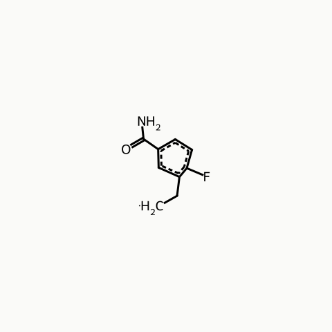 [CH2]Cc1cc(C(N)=O)ccc1F